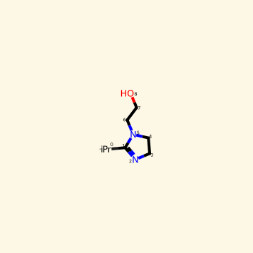 C[C](C)C1=NCCN1CCO